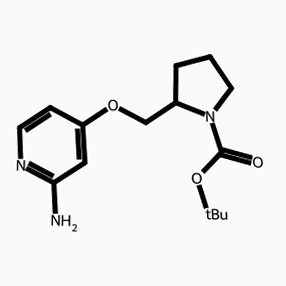 CC(C)(C)OC(=O)N1CCCC1COc1ccnc(N)c1